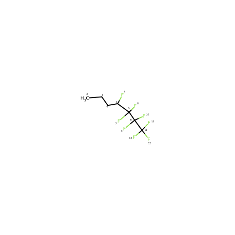 CCCC(F)C(F)(F)C(F)(F)C(F)(F)F